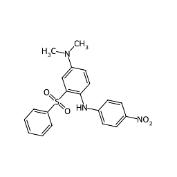 CN(C)c1ccc(Nc2ccc([N+](=O)[O-])cc2)c(S(=O)(=O)c2ccccc2)c1